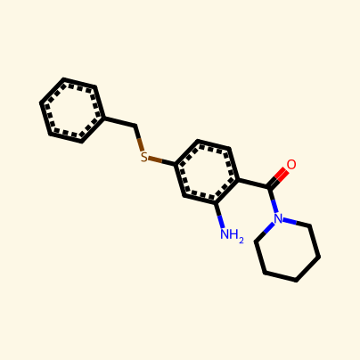 Nc1cc(SCc2ccccc2)ccc1C(=O)N1CCCCC1